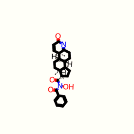 C[C@]12CC[C@H]3[C@@H](CCC4=NC(=O)C=C[C@@]43C)[C@@H]1CC[C@@H]2C(=O)N(O)C(=O)c1ccccc1